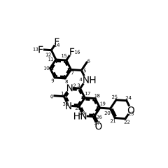 Cc1nc(NC(C)c2cccc(C(F)F)c2F)c2cc(C3=CCOCC3)c(=O)[nH]c2n1